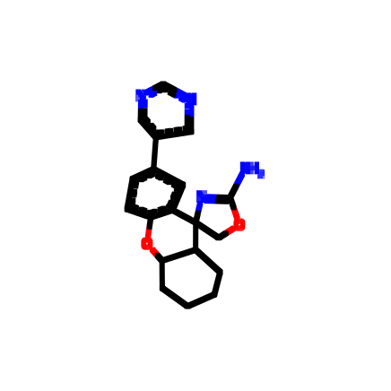 NC1=NC2(CO1)c1cc(-c3cncnc3)ccc1OC1CCCCC12